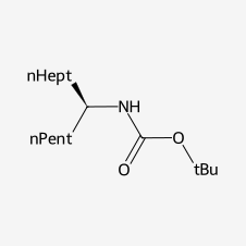 CCCCCCC[C@H](CCCCC)NC(=O)OC(C)(C)C